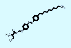 CCCCCCCCCCc1ccc(/N=N/c2ccc(OCOC(=O)C(C)CC)cc2)cc1